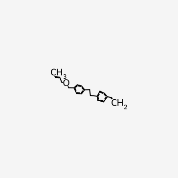 C=Cc1ccc(CCc2ccc(COCC=CC)cc2)cc1